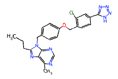 CCCc1nc2c(C)ncnc2n1Cc1ccc(OCc2ccc(-c3nnn[nH]3)cc2Cl)cc1